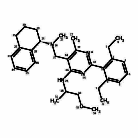 CCc1cccc(CC)c1-c1nc(C)c(CN(C)[C@H]2CCCc3ccccc32)c(NC(C)COC)n1